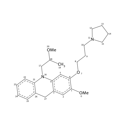 COc1cc2c(cc1OCCCN1CCCC1)N(CC(C)OC)c1ccccc1C2